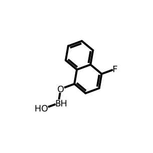 OBOc1ccc(F)c2ccccc12